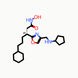 O=C(C[C@@H](CCCC1CCCCC1)c1nc(CNC2CCCC2)co1)NO